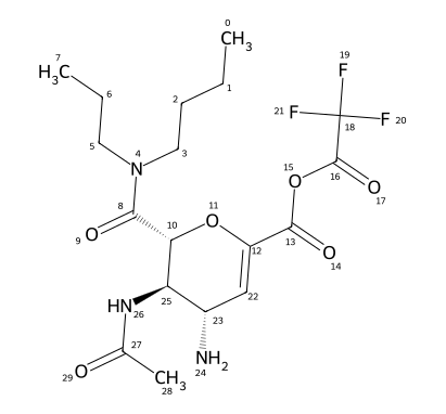 CCCCN(CCC)C(=O)[C@@H]1OC(C(=O)OC(=O)C(F)(F)F)=C[C@H](N)[C@H]1NC(C)=O